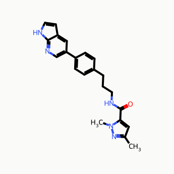 Cc1cc(C(=O)NCCCc2ccc(-c3cnc4[nH]ccc4c3)cc2)n(C)n1